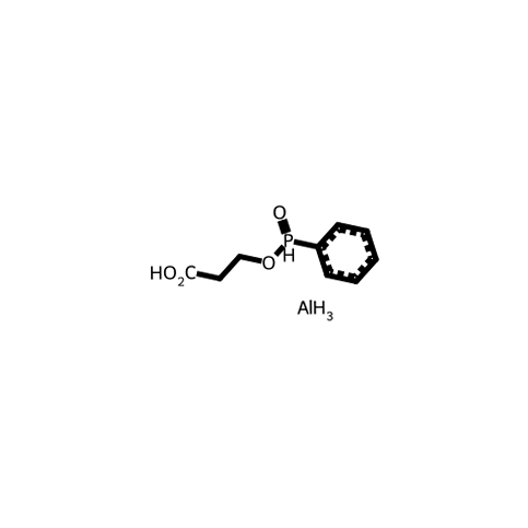 O=C(O)CCO[PH](=O)c1ccccc1.[AlH3]